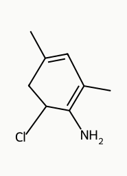 CC1=CC(C)=C(N)C(Cl)C1